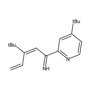 C=C/C(=C\C(=N)c1cc(C(C)(C)C)ccn1)C(C)(C)C